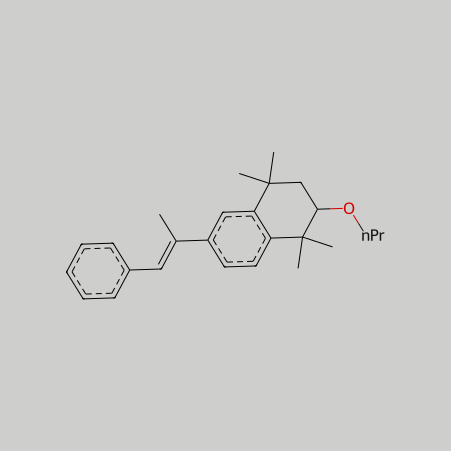 CCCOC1CC(C)(C)c2cc(C(C)=Cc3ccccc3)ccc2C1(C)C